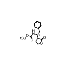 CC(C)(C)OC(=O)N[C@@H](Cc1ccccc1)C1CCOC1=O